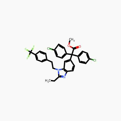 CCc1nc2ccc(C(C(=O)OC)(c3ccc(Cl)cc3)c3ccc(Cl)cc3)cc2n1CCc1ccc(C(F)(F)F)cc1